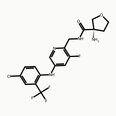 N[C@@]1(C(=O)NCc2ncc(Nc3ccc(Cl)cc3C(F)(F)F)cc2F)CCOC1